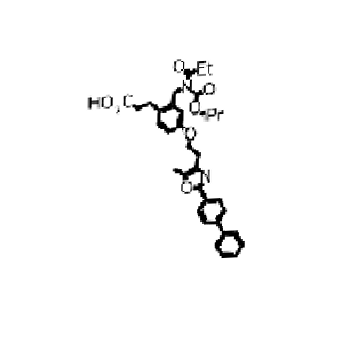 CCC(=O)N(Cc1cc(OCCc2nc(-c3ccc(-c4ccccc4)cc3)oc2C)ccc1CCC(=O)O)C(=O)OC(C)C